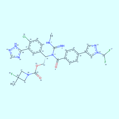 CCNC(=N)N(C(=O)c1ccc(-c2cnn(C(F)F)c2)cc1)[C@H](COC(=O)N1CC(C)(F)C1)c1ccc(Cl)c(-c2ncn[nH]2)c1